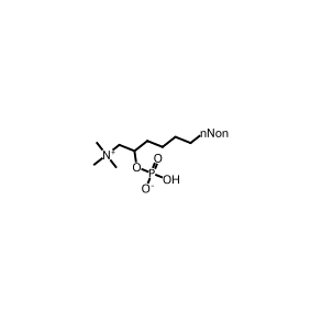 CCCCCCCCCCCCCC(C[N+](C)(C)C)OP(=O)([O-])O